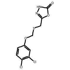 O=c1[nH]nc(CSCOc2ccc(Cl)c(Cl)c2)o1